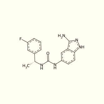 C[C@@H](NC(=O)Nc1ccc2[nH]nc(N)c2c1)c1cccc(F)c1